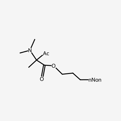 CCCCCCCCCCCCOC(=O)C(C)(C(C)=O)N(C)C